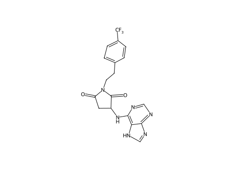 O=C1CC(Nc2ncnc3nc[nH]c23)C(=O)N1CCc1ccc(C(F)(F)F)cc1